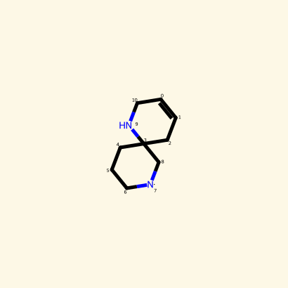 C1=CCC2(CCC[N]C2)NC1